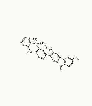 Cc1ccc2[nH]c3cc(-c4ccc5c(c4)C(C)(C)c4ccccc4N5)c(C)cc3c2c1